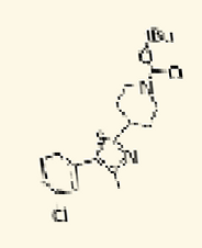 Cc1nc(C2CCN(C(=O)OC(C)(C)C)CC2)sc1-c1cccc(Cl)c1